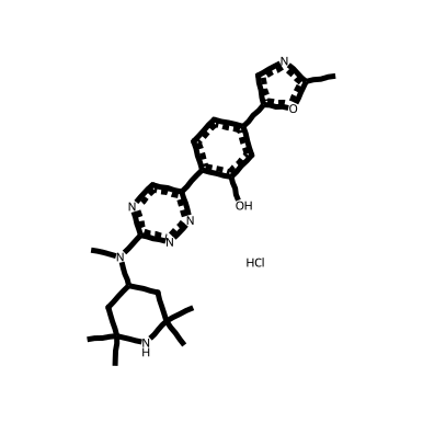 Cc1ncc(-c2ccc(-c3cnc(N(C)C4CC(C)(C)NC(C)(C)C4)nn3)c(O)c2)o1.Cl